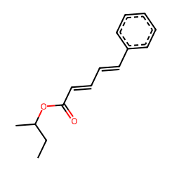 CCC(C)OC(=O)/C=C/C=C/c1ccccc1